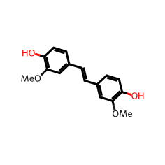 COc1cc(C=Cc2ccc(O)c(OC)c2)ccc1O